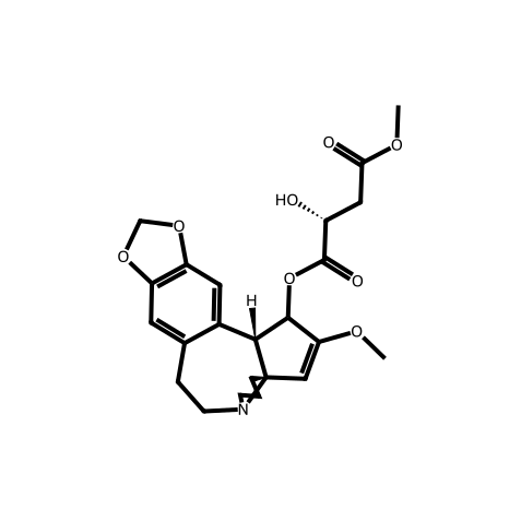 COC(=O)C[C@@H](O)C(=O)OC1C(OC)=C[C@]23CCCN2CCc2cc4c(cc2[C@H]13)OCO4